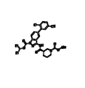 CCC(CC)OC(=O)n1nc(NC(=O)[C@@H]2CCCN(C(=O)OC(C)(C)C)C2)c2cc(-c3cc(C#N)ccc3Cl)ccc21